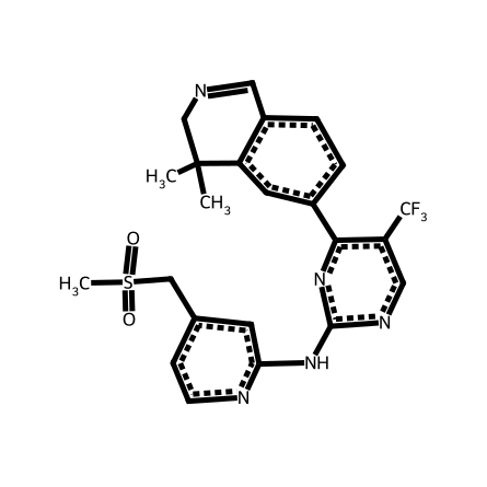 CC1(C)CN=Cc2ccc(-c3nc(Nc4cc(CS(C)(=O)=O)ccn4)ncc3C(F)(F)F)cc21